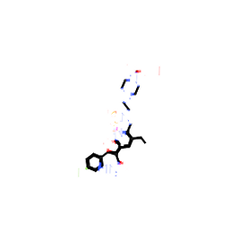 CCc1cc2c(C(=O)NC)c(-c3ccc(F)cc3)oc2nc1CN(CCN1CCN(C(=O)O)CC1)[SH](=O)=O